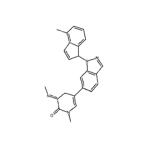 CN=C1CC(c2ccc3cnn(C4C=Cc5c(C)cccc54)c3c2)=CN(C)C1=O